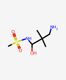 CC(C)(CN)C(O)NS(C)(=O)=O